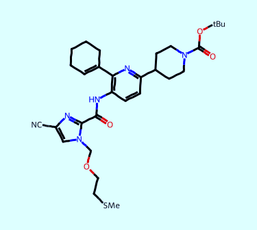 CSCCOCn1cc(C#N)nc1C(=O)Nc1ccc(C2CCN(C(=O)OC(C)(C)C)CC2)nc1C1=CCCCC1